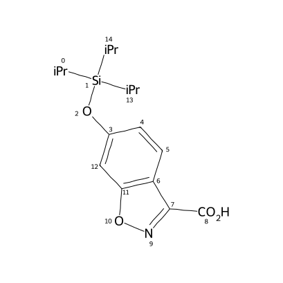 CC(C)[Si](Oc1ccc2c(C(=O)O)noc2c1)(C(C)C)C(C)C